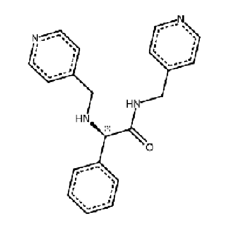 O=C(NCc1ccncc1)[C@H](NCc1ccncc1)c1ccccc1